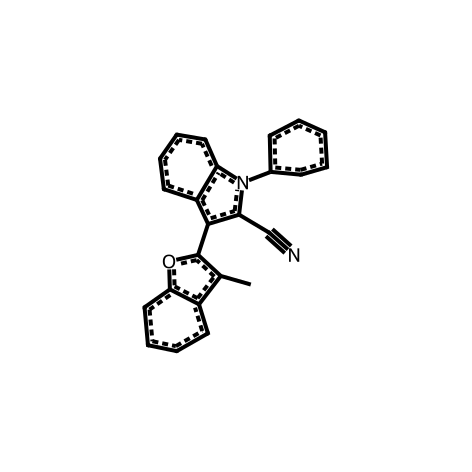 Cc1c(-c2c(C#N)n(-c3ccccc3)c3ccccc23)oc2ccccc12